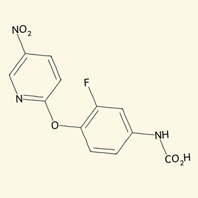 O=C(O)Nc1ccc(Oc2ccc([N+](=O)[O-])cn2)c(F)c1